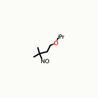 CC(C)OCCC(C)(C)N=O